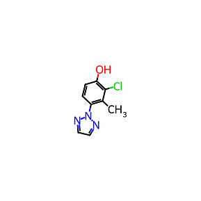 Cc1c(-n2nccn2)ccc(O)c1Cl